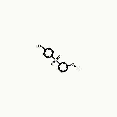 O=[N+]([O-])c1ccc(S(=O)(=O)c2cccc(OC(F)(F)F)c2)cc1